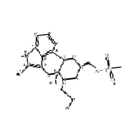 CCCN1C[C@H](COS(C)(=O)=O)CC2c3cccc4[nH]c(Br)c(c34)C[C@H]21